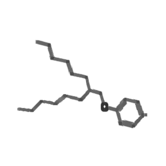 CCCCCCC(CCCCCC)COc1cc[c]cc1